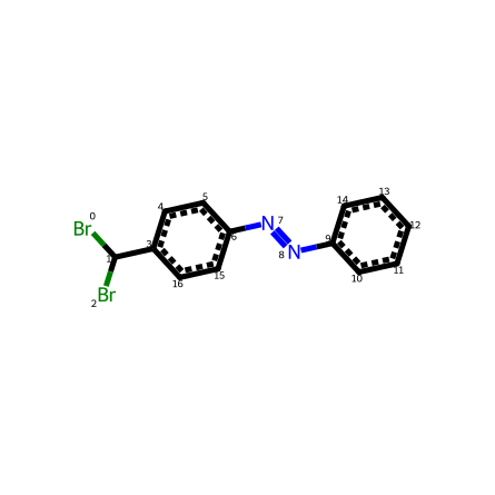 BrC(Br)c1ccc(/N=N/c2ccccc2)cc1